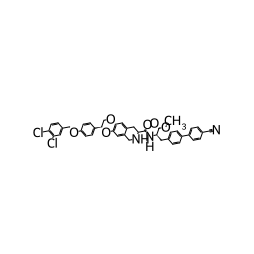 COC(=O)[C@@H](Cc1ccc(-c2ccc(C#N)cc2)cc1)NC(=O)C1Cc2cc3c(cc2CN1)O[C@@H](c1ccc(OCc2ccc(Cl)c(Cl)c2)cc1)CO3